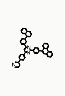 C1=CC(c2cccc3ccccc23)CC(c2cc(-c3ccc(C4C=NC=CC4)cc3)nc(-c3ccc(-c4cc5ccccc5c5ccccc45)cc3)n2)=C1